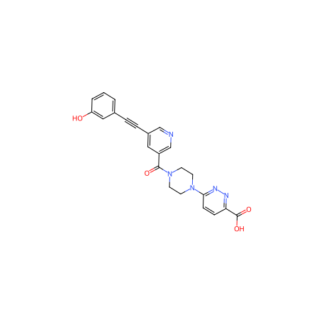 O=C(O)c1ccc(N2CCN(C(=O)c3cncc(C#Cc4cccc(O)c4)c3)CC2)nn1